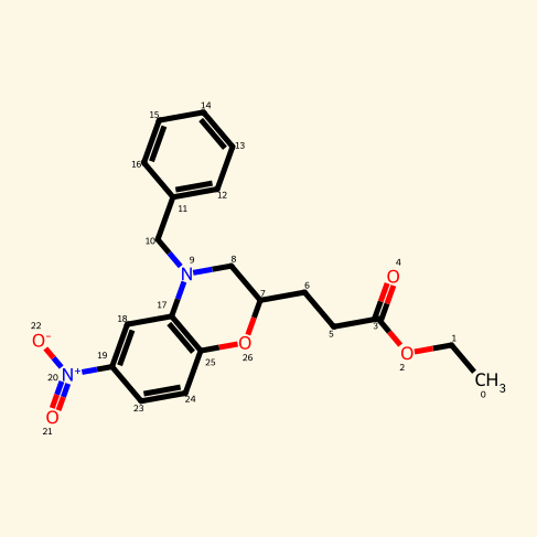 CCOC(=O)CCC1CN(Cc2ccccc2)c2cc([N+](=O)[O-])ccc2O1